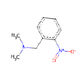 CN(C)Cc1cc[c]cc1[N+](=O)[O-]